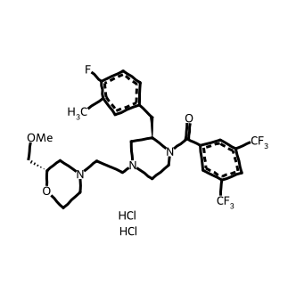 COC[C@@H]1CN(CCN2CCN(C(=O)c3cc(C(F)(F)F)cc(C(F)(F)F)c3)[C@H](Cc3ccc(F)c(C)c3)C2)CCO1.Cl.Cl